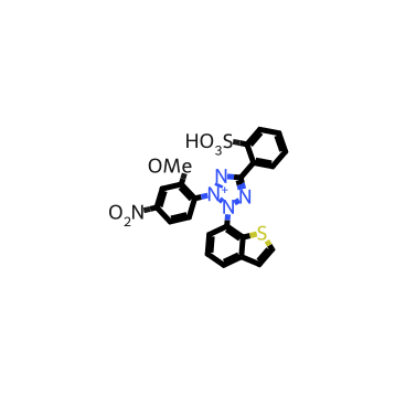 COc1cc([N+](=O)[O-])ccc1-[n+]1nc(-c2ccccc2S(=O)(=O)O)nn1-c1cccc2ccsc12